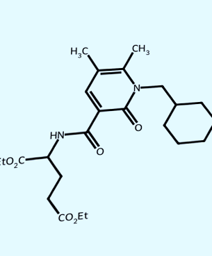 CCOC(=O)CCC(NC(=O)c1cc(C)c(C)n(CC2CCCCC2)c1=O)C(=O)OCC